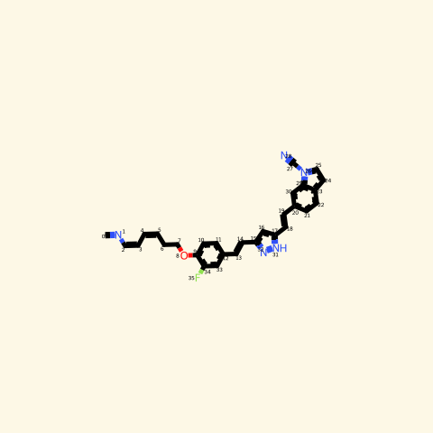 C=N/C=C\C=C/CCOc1ccc(/C=C/c2cc(/C=C/c3ccc4ccn(C#N)c4c3)[nH]n2)cc1F